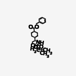 CCC(NC(=O)OC(C)(C)C)C1CCC(C(=O)OCc2ccccc2)CC1